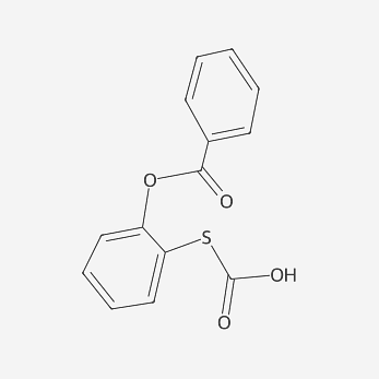 O=C(O)Sc1ccccc1OC(=O)c1ccccc1